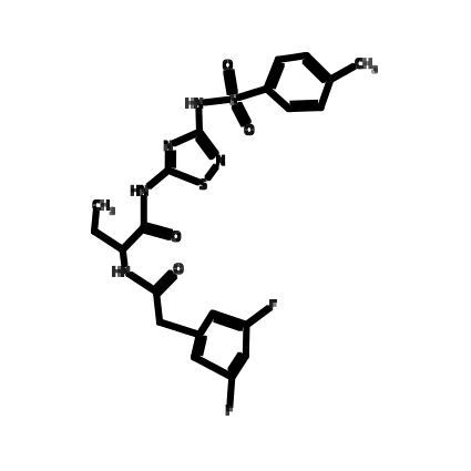 CCC(NC(=O)Cc1cc(F)cc(F)c1)C(=O)Nc1nc(NS(=O)(=O)c2ccc(C)cc2)ns1